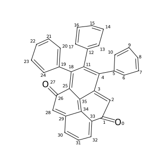 O=c1cc2c(-c3ccccc3)c(-c3ccccc3)c(-c3ccccc3)c3c(=O)cc4cccc1c4=c23